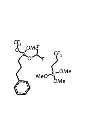 CO[Si](CCC(F)(F)F)(OC)OC.CO[Si](CCCc1ccccc1)(OC(F)F)OC(F)(F)F